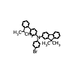 CC(C)c1ccccc1-c1ccc(N(c2ccc(Br)cc2)c2ccc3c(c2)C(C)(C)c2ccccc2-3)cc1